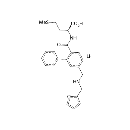 CSCC[C@H](NC(=O)c1ccc(CNCc2ccco2)cc1-c1ccccc1)C(=O)O.[Li]